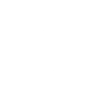 CCCOCC=Cc1ccccc1